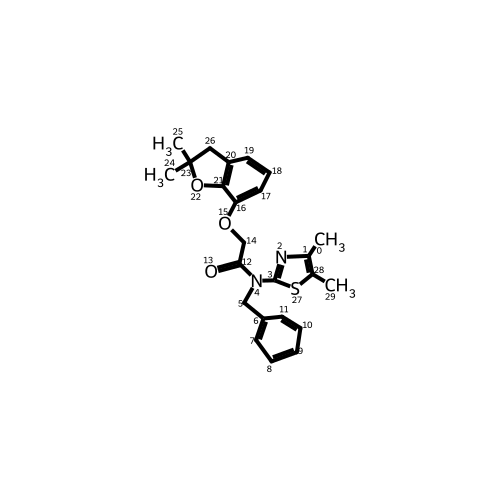 Cc1nc(N(Cc2ccccc2)C(=O)COc2cccc3c2OC(C)(C)C3)sc1C